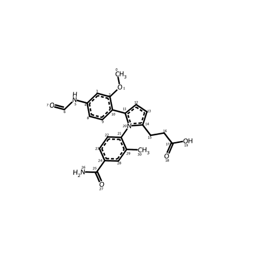 COc1cc(NC=O)ccc1-c1ccc(CCC(=O)O)n1-c1ccc(C(N)=O)cc1C